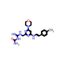 Cc1ccc(/C=C/Nc2cc(N3CCOCC3)nc(CNC(=N)NC(N)=O)n2)cc1